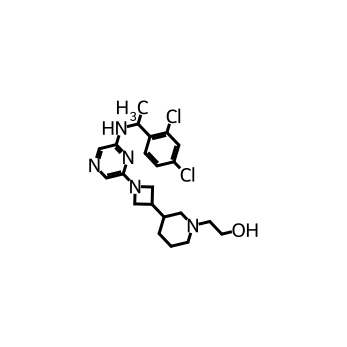 CC(Nc1cncc(N2CC(C3CCCN(CCO)C3)C2)n1)c1ccc(Cl)cc1Cl